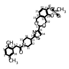 Cc1ccc(C)c(CC(=O)N2CCC(c3nc(C4OCc5ccc(F)c(OS(C)(=O)=O)c5CO4)cs3)CC2)c1